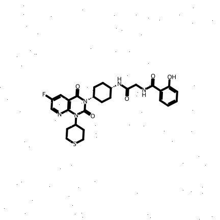 O=C(CNC(=O)c1ccccc1O)N[C@H]1CC[C@@H](n2c(=O)c3cc(F)cnc3n(C3CCSCC3)c2=O)CC1